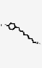 CCCCCCCCCC1CCC(C)CC1